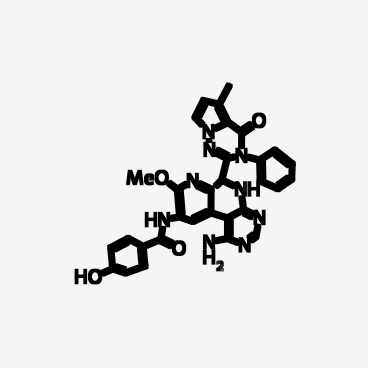 COc1ncc(-c2c(N)ncnc2NC(C)c2nn3ccc(C)c3c(=O)n2-c2ccccc2)cc1NC(=O)c1ccc(O)cc1